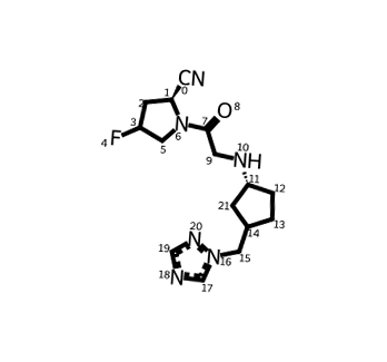 N#C[C@@H]1CC(F)CN1C(=O)CN[C@@H]1CCC(Cn2cncn2)C1